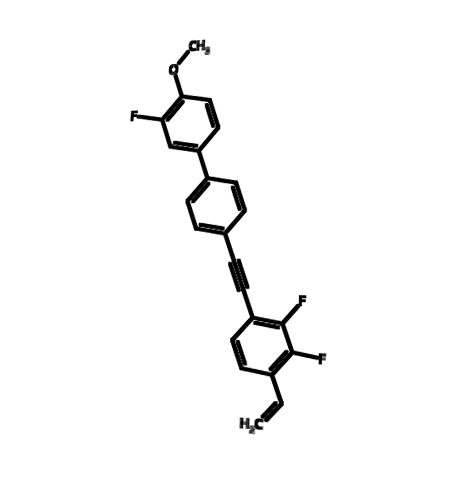 C=Cc1ccc(C#Cc2ccc(-c3ccc(OC)c(F)c3)cc2)c(F)c1F